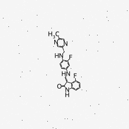 Cc1cnc(CNc2ccc(N/C=C3/C(=O)Nc4cccc(F)c43)cc2F)cn1